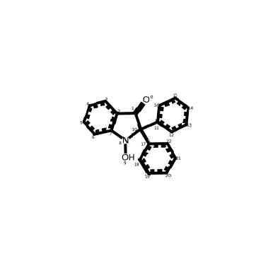 O=C1c2ccccc2N(O)C1(c1ccccc1)c1ccccc1